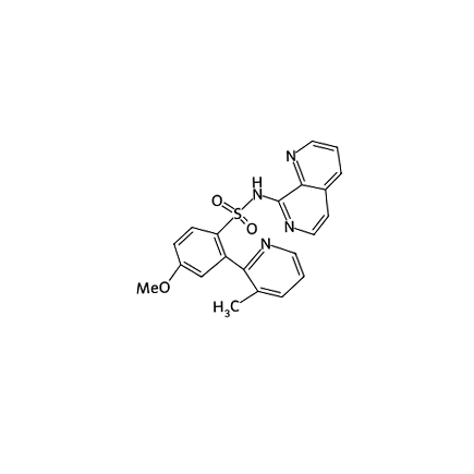 COc1ccc(S(=O)(=O)Nc2nccc3cccnc23)c(-c2ncccc2C)c1